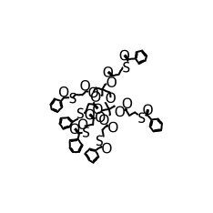 O=C(CCSC(=O)c1ccccc1)OCC(COCC(COC(=O)CCSC(=O)c1ccccc1)(COC(=O)CCSC(=O)c1ccccc1)COC(=O)CCSC(=O)c1ccccc1)(COC(=O)CCSC(=O)c1ccccc1)COC(=O)CCSC(=O)c1ccccc1